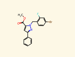 COC(=O)c1cc(-c2ccccc2)nn1Cc1ccc(Br)cc1F